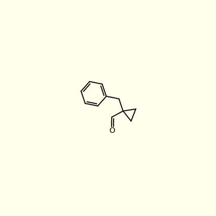 O=CC1(Cc2ccccc2)CC1